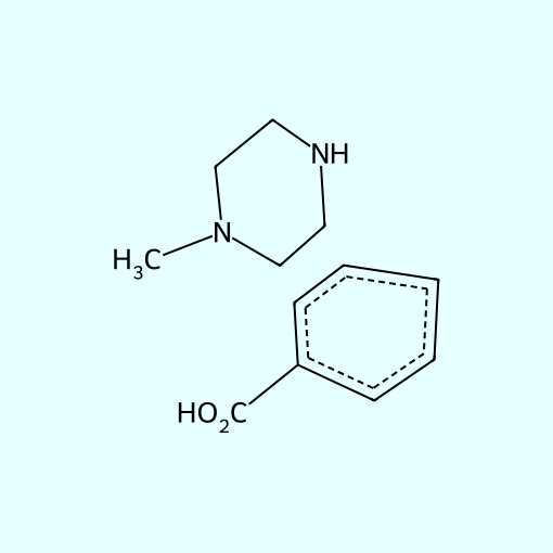 CN1CCNCC1.O=C(O)c1ccccc1